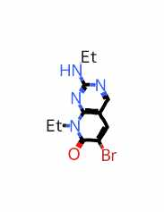 CCNc1ncc2cc(Br)c(=O)n(CC)c2n1